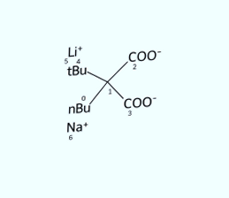 CCCCC(C(=O)[O-])(C(=O)[O-])C(C)(C)C.[Li+].[Na+]